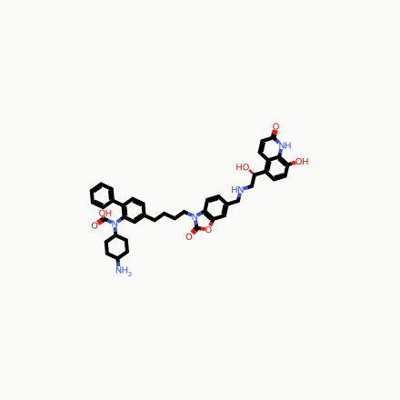 NC1CCC(N(C(=O)O)c2cc(CCCCn3c(=O)oc4cc(CNC[C@@H](O)c5ccc(O)c6[nH]c(=O)ccc56)ccc43)ccc2-c2ccccc2)CC1